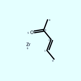 CC=CC(C)=O.[Zr]